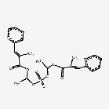 C/C(=C\c1ccccn1)C(=O)OC(C)OS(=O)(=O)OC(C)OC(=O)/C(C)=C/c1ccccn1